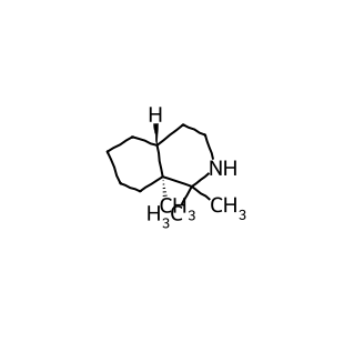 CC1(C)NCC[C@H]2CCCC[C@@]21C